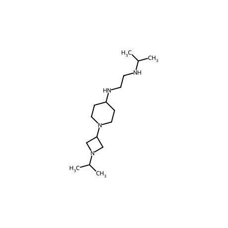 CC(C)NCCNC1CCN(C2CN(C(C)C)C2)CC1